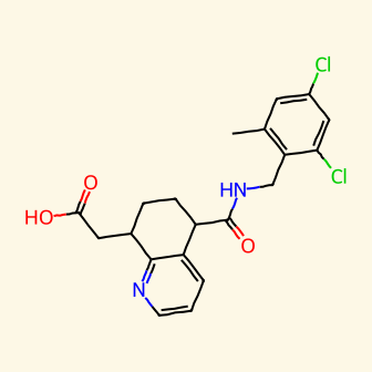 Cc1cc(Cl)cc(Cl)c1CNC(=O)C1CCC(CC(=O)O)c2ncccc21